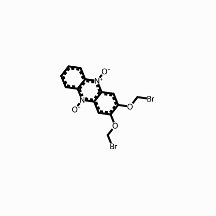 [O-][n+]1c2ccccc2[n+]([O-])c2cc(OCBr)c(OCBr)cc21